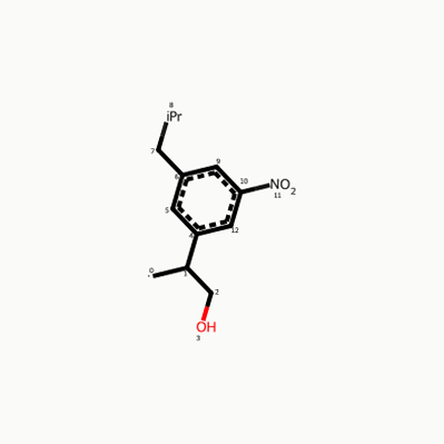 [CH2]C(CO)c1cc(CC(C)C)cc([N+](=O)[O-])c1